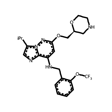 CC(C)c1cnc2c(NCc3ccccc3OC(F)(F)F)cc(OC[C@@H]3CNCCO3)nn12